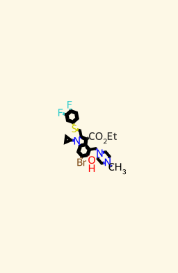 CCOC(=O)c1c(CSc2ccc(F)c(F)c2)n(C2CC2)c2cc(Br)c(O)c(CN3CCN(C)CC3)c12